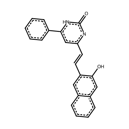 O=c1nc(/C=C/c2cc3ccccc3cc2O)cc(-c2ccccc2)[nH]1